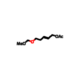 COCOCCC=CCOC(C)=O